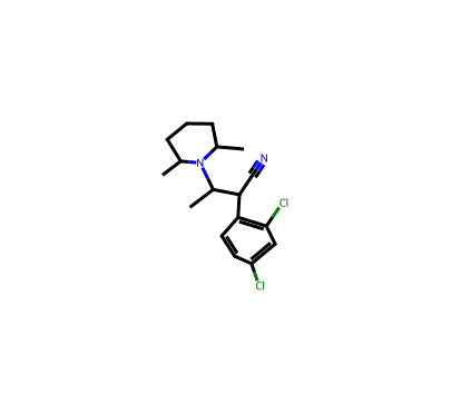 CC1CCCC(C)N1C(C)C(C#N)c1ccc(Cl)cc1Cl